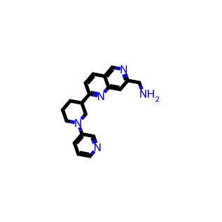 NCc1cc2nc(C3CCCN(c4cccnc4)C3)ccc2cn1